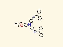 COc1ccc(N(c2ccc(/C=C/C=C(c3ccccc3)c3ccccc3)cc2)c2ccc(/C=C/C=C(c3ccccc3)c3ccccc3)cc2)cc1